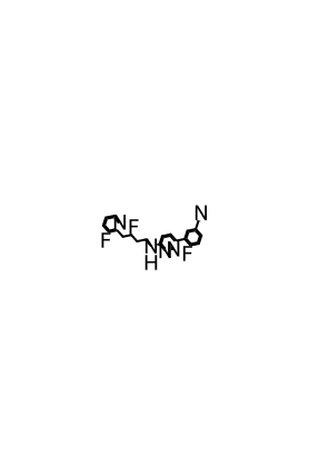 N#Cc1ccc(F)c(-c2ccc(NCC[C@H](F)Cc3ncccc3F)nn2)c1